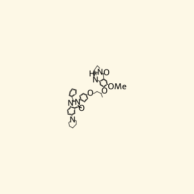 COc1cc2c(cc1OC(C)CCOc1ccc(-n3c(-c4ccccc4)nc4ccc(N5CCCCC5)cc4c3=O)cc1)N=C[C@@H]1CCCN1C2=O